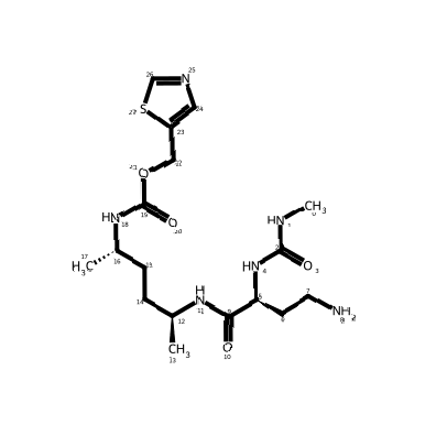 CNC(=O)N[C@@H](CCN)C(=O)N[C@@H](C)CC[C@H](C)NC(=O)OCc1cncs1